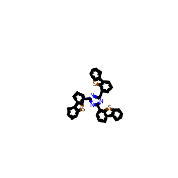 c1ccc2c(c1)sc1c(-c3nc(-c4cccc5c4sc4ccccc45)nc(-c4cccc5c4sc4ccccc45)n3)cccc12